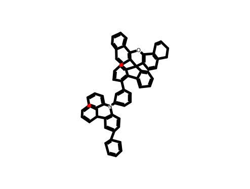 C1=CCC(c2cc(-c3ccccc3)ccc2N(c2ccccc2)c2cccc(-c3cccc4c3-c3ccccc3C43c4ccc5c(c4Oc4c3ccc3ccccc43)C=CCC5)c2)C=C1